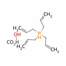 C=CC[PH](CC=C)(CC=C)CC=C.O=C(O)O